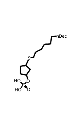 CCCCCCCCCCCCCCCCSC1CCC(OP(=O)(O)O)C1